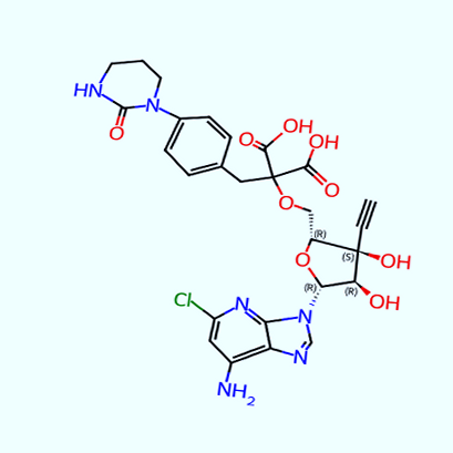 C#C[C@@]1(O)[C@@H](COC(Cc2ccc(N3CCCNC3=O)cc2)(C(=O)O)C(=O)O)O[C@@H](n2cnc3c(N)cc(Cl)nc32)[C@@H]1O